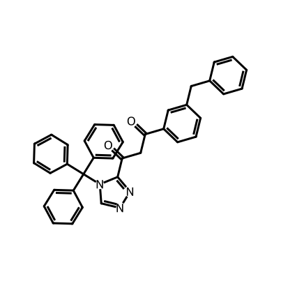 O=C(CC(=O)c1nncn1C(c1ccccc1)(c1ccccc1)c1ccccc1)c1cccc(Cc2ccccc2)c1